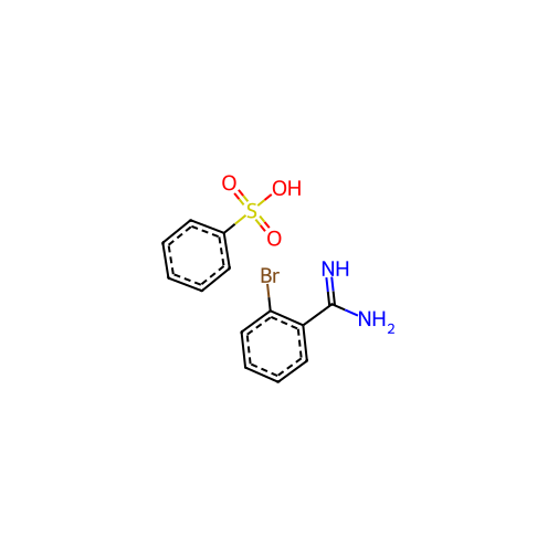 N=C(N)c1ccccc1Br.O=S(=O)(O)c1ccccc1